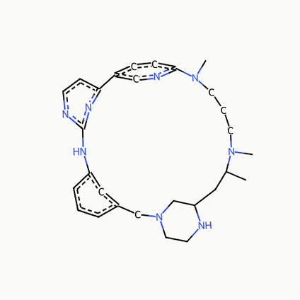 CC1CC2CN(CCN2)Cc2cccc(c2)Nc2nccc(n2)-c2ccc(nc2)N(C)CCCN1C